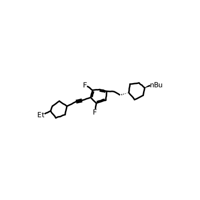 CCCC[C@H]1CC[C@H](CCc2cc(F)c(C#CC3CCC(CC)CC3)c(F)c2)CC1